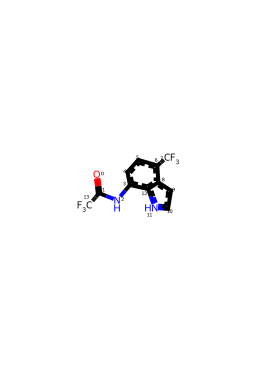 O=C(Nc1ccc(C(F)(F)F)c2cc[nH]c12)C(F)(F)F